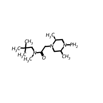 CC1CN(CC(=O)N(C)CC(C)(C)C)[C@@H](C)CN1P